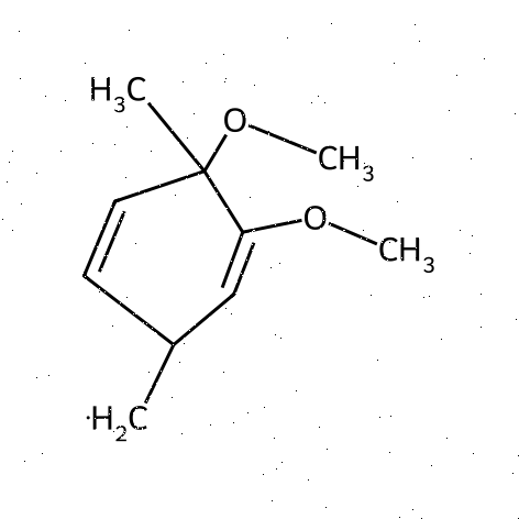 [CH2]C1C=CC(C)(OC)C(OC)=C1